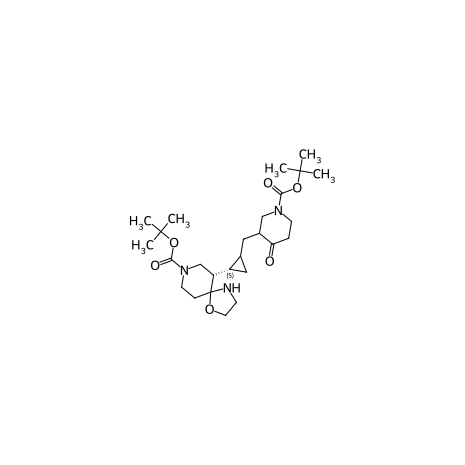 CC(C)(C)OC(=O)N1CCC(=O)C(CC2C[C@@H]2C2CN(C(=O)OC(C)(C)C)CCC23NCCO3)C1